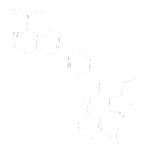 CC(C)C1ON=C(c2c(Cl)cccc2Cl)C1COc1ccc(-c2ccc3c(C(=O)O)nccc3c2)cc1